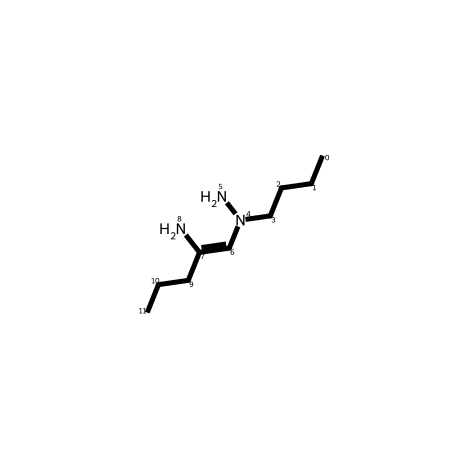 CCCCN(N)/C=C(\N)CCC